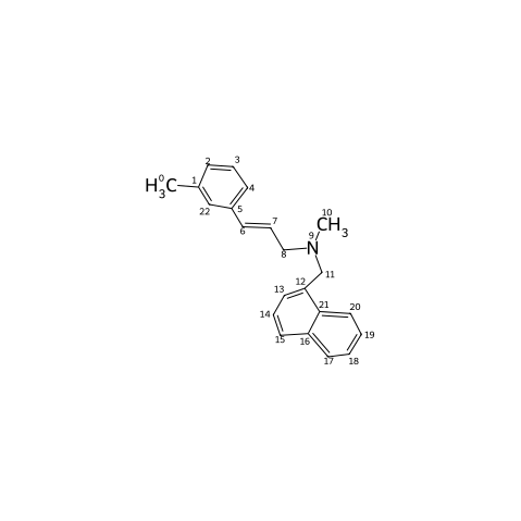 Cc1cccc(C=CCN(C)Cc2cccc3ccccc23)c1